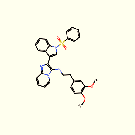 COc1ccc(CCNc2c(-c3cn(S(=O)(=O)c4ccccc4)c4ccccc34)nc3ccccn23)cc1OC